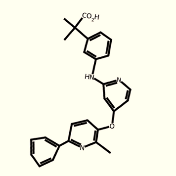 Cc1nc(-c2ccccc2)ccc1Oc1ccnc(Nc2cccc(C(C)(C)C(=O)O)c2)c1